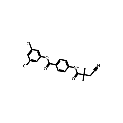 CC(C)(CC#N)C(=O)Nc1ccc(C(=O)Oc2cc(Cl)cc(Cl)c2)cc1